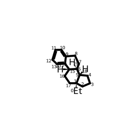 CC[C@@]12CCC[C@H]1[C@@H]1CCc3c[c]ccc3[C@H]1CC2